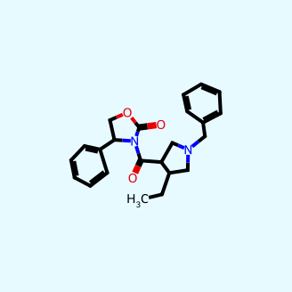 CCC1CN(Cc2ccccc2)CC1C(=O)N1C(=O)OCC1c1ccccc1